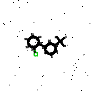 CC(C)(C)c1cc[c]c(-c2ccccc2Cl)c1